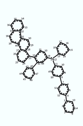 c1ccc(-c2ccc(-c3ccc(N(c4ccccc4)c4ccc(-c5cccc6c5ccc5c7ccccc7ccc65)c(-c5ccccc5)c4)cc3)cc2)cc1